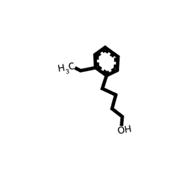 CCc1ccccc1CCCCO